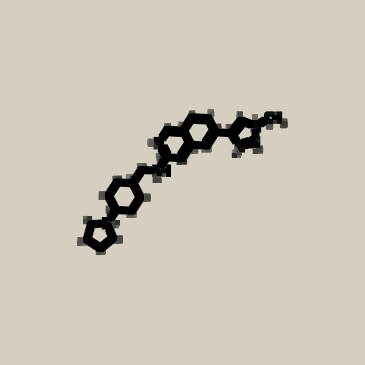 Cn1cc(-c2ccc3cnc(NCC4CCC(N5CCCC5)CC4)cc3c2)nn1